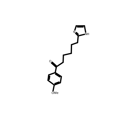 COc1ccc(C(=O)CCCCCc2ncc[nH]2)cc1